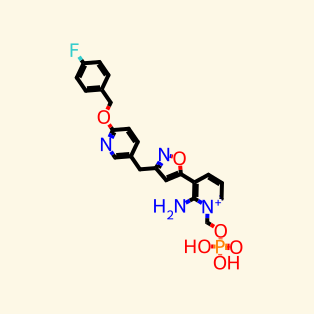 Nc1c(-c2cc(Cc3ccc(OCc4ccc(F)cc4)nc3)no2)ccc[n+]1COP(=O)(O)O